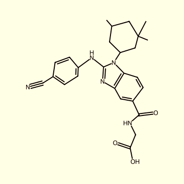 CC1CC(n2c(Nc3ccc(C#N)cc3)nc3cc(C(=O)NCC(=O)O)ccc32)CC(C)(C)C1